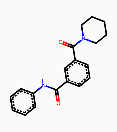 O=C(Nc1ccccc1)c1cccc(C(=O)N2CCCCC2)c1